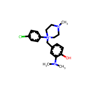 CN1CC[N+](Cc2ccc(O)c(N(C)C)c2)(c2ccc(Cl)cc2)CC1